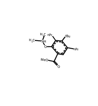 CCCc1cc(C(=O)OC)c(O[SiH](C)C)c(CCC)c1C(C)(C)C